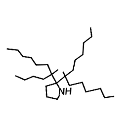 CCCCCCC(C)(CCCC)C1(C(C)(CCCCCC)CCCCCC)CCCN1